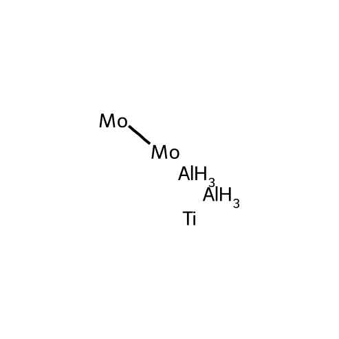 [AlH3].[AlH3].[Mo][Mo].[Ti]